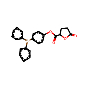 O=C1CCC(C(=O)Oc2ccc([S+](c3ccccc3)c3ccccc3)cc2)O1